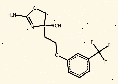 C[C@]1(CCOc2cccc(C(F)(F)F)c2)COC(N)=N1